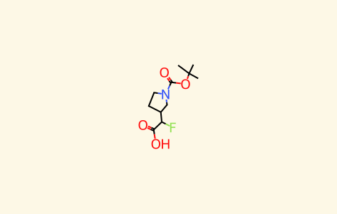 CC(C)(C)OC(=O)N1CCC(C(F)C(=O)O)C1